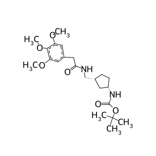 COc1cc(CC(=O)NC[C@@H]2CC[C@H](NC(=O)OC(C)(C)C)C2)cc(OC)c1OC